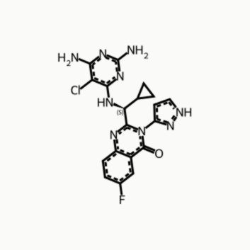 Nc1nc(N)c(Cl)c(N[C@H](c2nc3ccc(F)cc3c(=O)n2-c2cc[nH]n2)C2CC2)n1